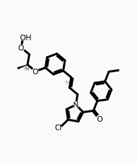 CCc1ccc(C(=O)c2cc(Cl)cn2C/C=C/c2cccc(O[C@@H](C)COO)c2)cc1